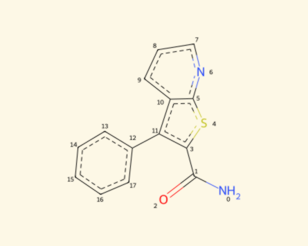 NC(=O)c1sc2ncccc2c1-c1ccccc1